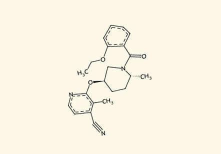 CCOc1ccccc1C(=O)N1C[C@H](Oc2nccc(C#N)c2C)CC[C@H]1C